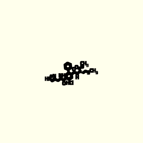 COC(=O)[C@H](CCSC)NC(=O)c1ccc(C(=O)[C@@H](N)Cc2c[nH]cn2)cc1-c1ccccc1.Cl